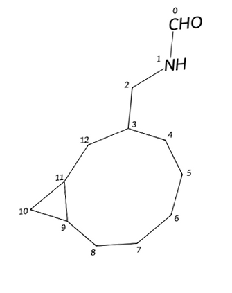 O=CNCC1CCCCCC2CC2C1